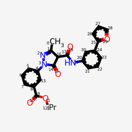 CC1=NN(c2cccc(C(=O)OC(C)C)c2)C(=O)C1C(=O)Nc1cccc(-c2ccco2)c1